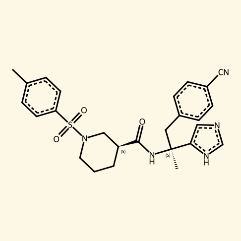 Cc1ccc(S(=O)(=O)N2CCC[C@H](C(=O)N[C@@](C)(Cc3ccc(C#N)cc3)c3cnc[nH]3)C2)cc1